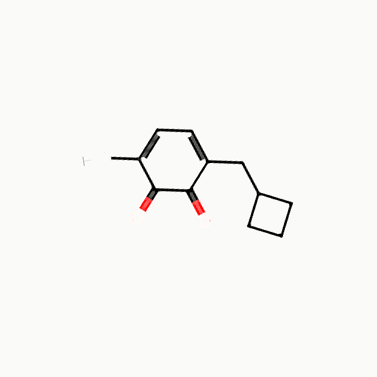 CC1=CC=C(CC2CCC2)C(=O)C1=O